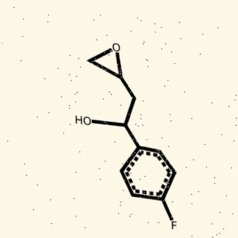 OC(CC1CO1)c1ccc(F)cc1